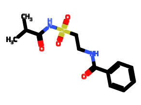 CC(C)C(=O)NS(=O)(=O)CCNC(=O)c1ccccc1